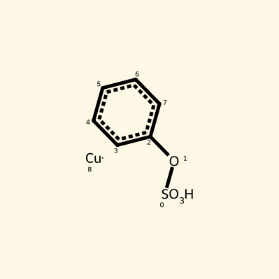 O=S(=O)(O)Oc1ccccc1.[Cu]